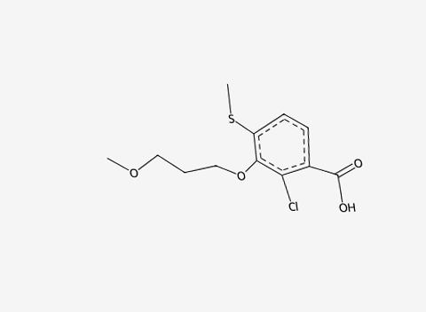 COCCCOc1c(SC)ccc(C(=O)O)c1Cl